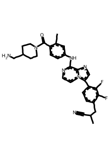 Cc1cc(Nc2nccn3c(-c4ccc(CC(C)C#N)c(F)c4F)cnc23)ccc1C(=O)N1CCC(CN)CC1